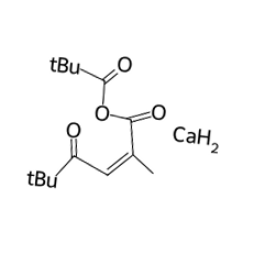 CC(=CC(=O)C(C)(C)C)C(=O)OC(=O)C(C)(C)C.[CaH2]